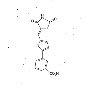 O=C1NC(=O)C(=Cc2ccc(-c3cccc(C(=O)O)c3)o2)S1